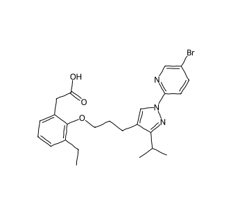 CCc1cccc(CC(=O)O)c1OCCCc1cn(-c2ccc(Br)cn2)nc1C(C)C